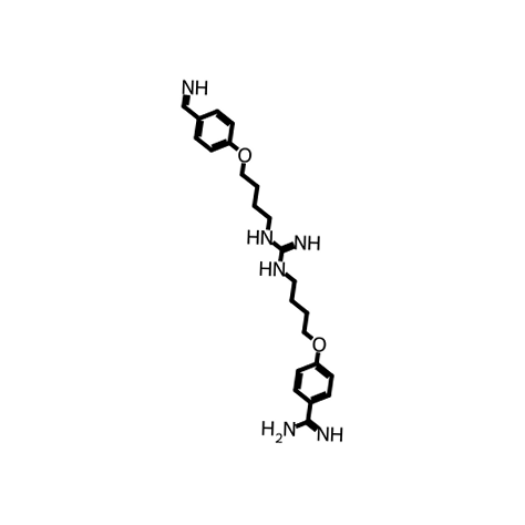 N=Cc1ccc(OCCCCNC(=N)NCCCCOc2ccc(C(=N)N)cc2)cc1